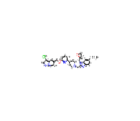 O=C(O)c1ccc2nc(CN3CCC(c4cccc(OCc5ccn6ncc(Cl)c6c5)n4)CC3)n(C[C@@H]3CCO3)c2c1